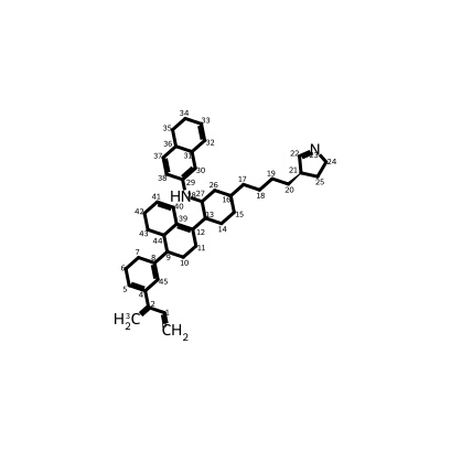 C=CC(=C)C1=CCCC(C2CCC(C3CCC(CCCC[C@H]4C=NCC4)CC3NC3=CC4C=CCCC4C=C3)=C3C=CCCC32)=C1